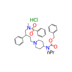 CCCN(C(=O)OCc1ccccc1)C1CCN(CCC(CN(C)S(=O)(=O)c2ccccc2)c2ccccc2)CC1.Cl